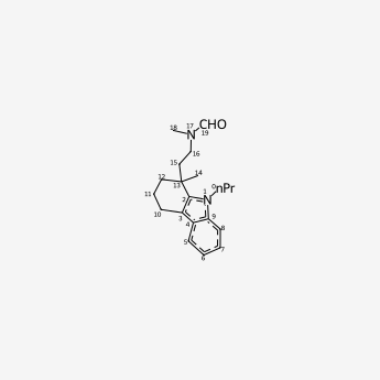 CCCn1c2c(c3ccccc31)CCCC2(C)CCN(C)C=O